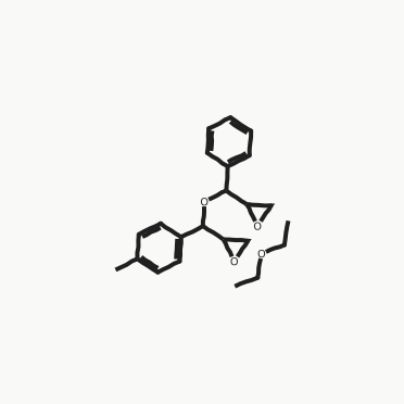 CCOCC.Cc1ccc(C(OC(c2ccccc2)C2CO2)C2CO2)cc1